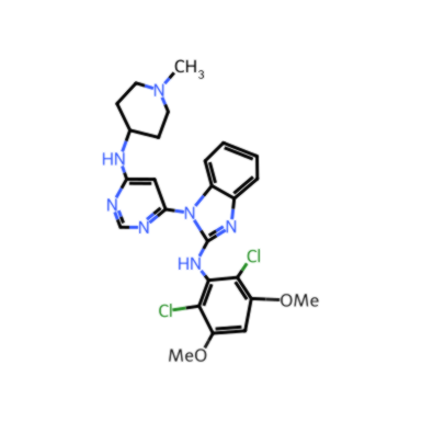 COc1cc(OC)c(Cl)c(Nc2nc3ccccc3n2-c2cc(NC3CCN(C)CC3)ncn2)c1Cl